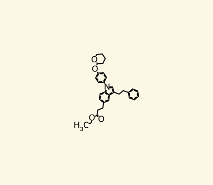 CCOC(=O)CCc1ccc2c(c1)c(CCc1ccccc1)cn2-c1ccc(OC2CCCCO2)cc1